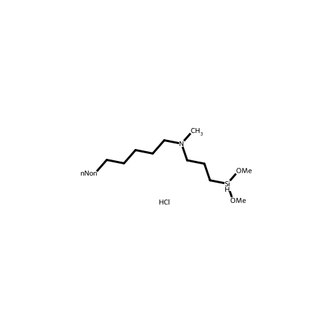 CCCCCCCCCCCCCCN(C)CCC[SiH](OC)OC.Cl